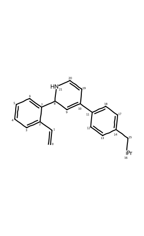 C=Cc1ccccc1C1C=C(c2ccc(CC(C)C)cc2)C=CN1